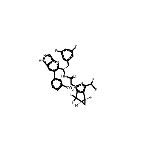 O=C(Cn1nc(C(F)F)c2c1C(F)(F)[C@@H]1C[C@H]21)N[C@@H](Cc1cc(F)cc(F)c1)c1nc2cn[nH]c2cc1-c1cccc(C(=O)O)c1